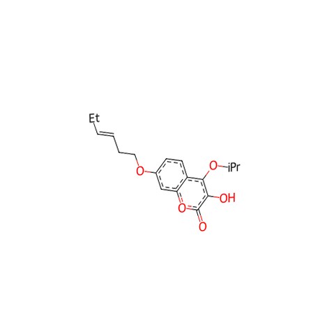 CCC=CCCOc1ccc2c(OC(C)C)c(O)c(=O)oc2c1